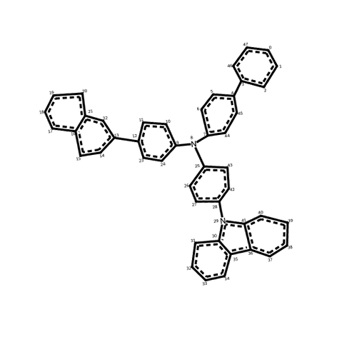 c1ccc(-c2ccc(N(c3ccc(-c4ccc5ccccc5c4)cc3)c3ccc(-n4c5ccccc5c5ccccc54)cc3)cc2)cc1